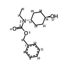 CCN(C(=O)OCc1ccccc1)[C@H]1CC[C@H](O)CC1